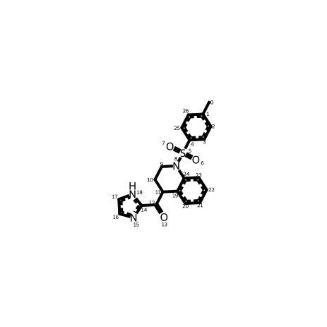 Cc1ccc(S(=O)(=O)N2CCC(C(=O)c3ncc[nH]3)c3ccccc32)cc1